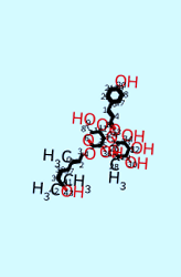 C/C(=C\CO[C@@H]1O[C@H](CO)[C@@H](OC(=O)/C=C/c2ccc(O)cc2)[C@H](O[C@@H]2O[C@@H](C)[C@H](O)[C@@H](O)[C@H]2O)[C@H]1O)C/C=C\C(C)(C)O